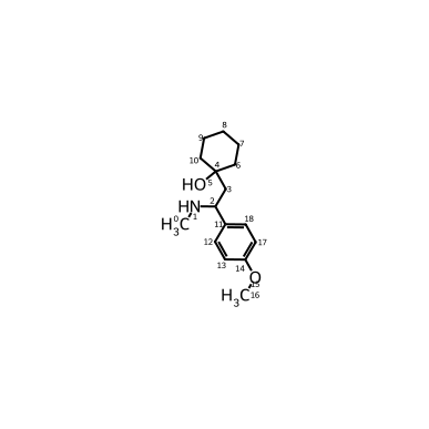 CNC(CC1(O)CCCCC1)c1ccc(OC)cc1